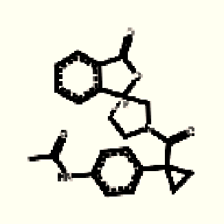 CC(=O)Nc1ccc(C2(C(=O)N3CC[C@@]4(C3)OC(=O)c3ccccc34)CC2)cc1